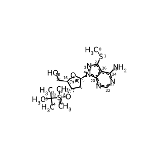 CSc1nn([C@H]2C[C@H](O[Si](C)(C)C(C)(C)C)[C@@H](CO)O2)c2ncnc(N)c12